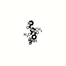 CCC1CN(C(=O)c2ccccn2)CC(C)N1C(=O)C1CCC(N[SH](=O)=O)CC1